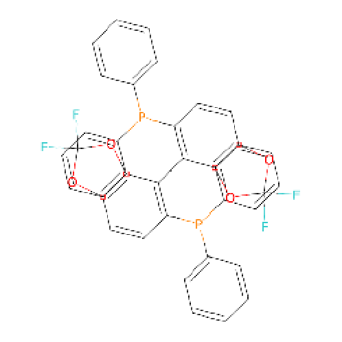 FC1(F)Oc2ccc(P(c3ccccc3)c3ccccc3)c(-c3c(P(c4ccccc4)c4ccccc4)ccc4c3OC(F)(F)O4)c2O1